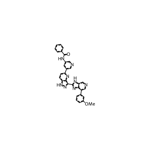 COc1cccc(-c2cncc3[nH]c(-c4n[nH]c5ccc(-c6cncc(NC(=O)c7ccccc7)c6)nc45)nc23)c1